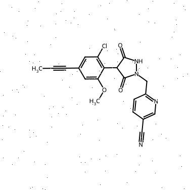 CC#Cc1cc(Cl)c(C2C(=O)NN(Cc3ccc(C#N)cn3)C2=O)c(OC)c1